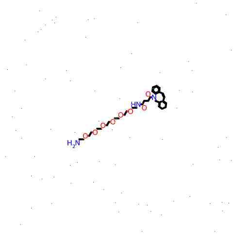 NCCOCCOCCOCCOCCOCCOCCNC(=O)CCC(=O)N1CC2=CCCC=C2/C=C\c2ccccc21